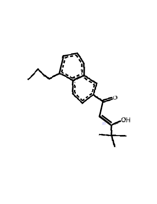 CCCc1cccc2cc(C(=O)/C=C(\O)C(C)(C)C)ccc12